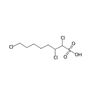 O=S(=O)(O)C(Cl)C(Cl)CCCCCCl